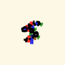 C[C@@H](CN1CCC(F)C1)Oc1nc(N2CC3CCC(C2)N3C(=O)OC(C)(C)C)c2cc(Cl)c(-c3ccc(F)c4sc(NC(=O)OC(C)(C)C)nc34)c(F)c2n1